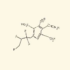 O=C(O)c1cc(C(F)(F)C(F)CF)c(C(=O)O)c(C(=O)O)c1C(=O)O